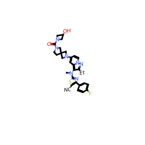 CCc1nn2ccc(N3CC4(CCN(C(=O)N5CC(O)C5)C4)C3)cc2c1N(C)c1nc(-c2ccc(F)cc2)c(C#N)s1